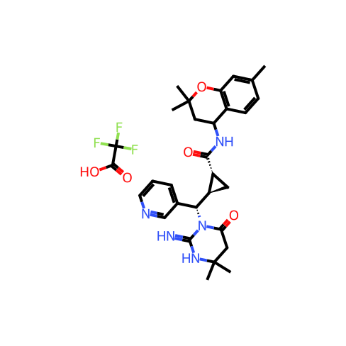 Cc1ccc2c(c1)OC(C)(C)CC2NC(=O)[C@@H]1C[C@H]1[C@@H](c1cccnc1)N1C(=N)NC(C)(C)CC1=O.O=C(O)C(F)(F)F